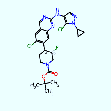 CC(C)(C)OC(=O)N1CC[C@@H](c2cc3nc(Nc4cnn(C5CC5)c4Cl)ncc3cc2Cl)[C@H](F)C1